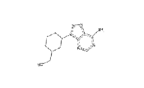 Nc1ncnc2c1nnn2C1CCCC(CO)C1